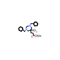 COC(=O)CCC1([N+](=O)[O-])CN(Cc2ccccc2)CCN(Cc2ccccc2)C1